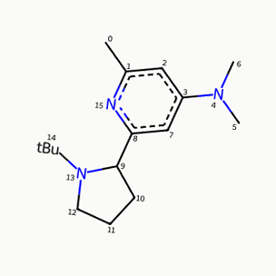 Cc1cc(N(C)C)cc(C2CCCN2C(C)(C)C)n1